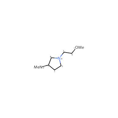 CNC1CCN(CCOC)C1